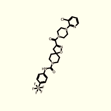 O=C(Nc1ccc(S(F)(F)(F)(F)F)cc1)N1CCC2(CC1)CC(C(=O)N1CCN(c3ncccc3Cl)CC1)=NO2